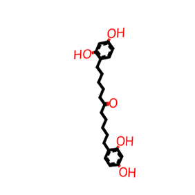 O=C(CCCCCc1ccc(O)cc1O)CCCCCc1ccc(O)cc1O